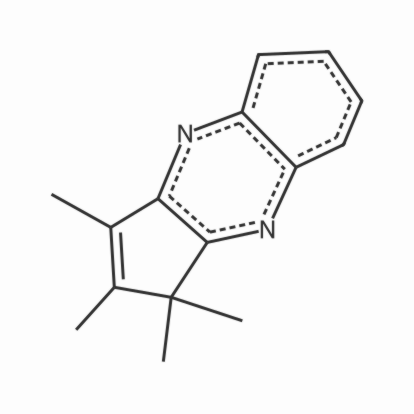 CC1=C(C)C(C)(C)c2nc3ccccc3nc21